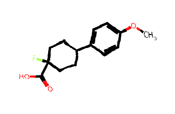 COc1ccc(C2CCC(F)(C(=O)O)CC2)cc1